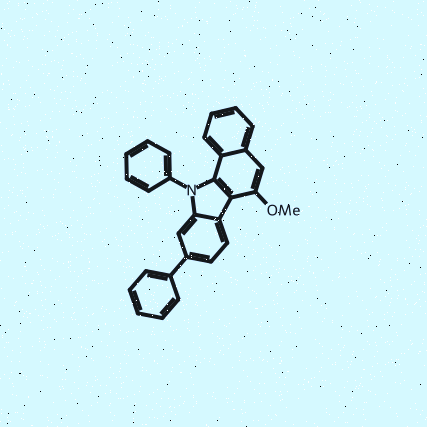 COc1cc2ccccc2c2c1c1ccc(-c3ccccc3)cc1n2-c1ccccc1